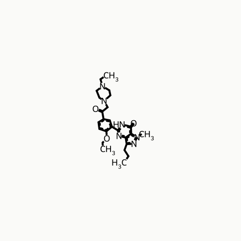 CCCc1nn(C)c2c(=O)[nH]c(-c3cc(C(=O)CN4CCN(CC)CC4)ccc3OCC)nc12